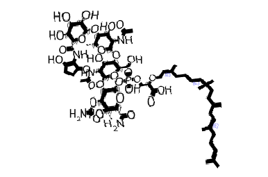 C=C(C/C=C(\C)CCC=C(C)C)CCC(C)(C)/C=C/CC/C(C)=C\CO[C@H](COP(=O)(O)O[C@H]1O[C@H](C(N)=O)[C@@](C)(O)[C@H](OC(N)=O)[C@H]1O[C@@H]1O[C@H](CO)[C@@H](O[C@@H]2O[C@H](C)[C@@H](O[C@@H]3O[C@H](C(=O)NC4=C(O)CCC4=O)[C@H](O)[C@H](O)[C@H]3O)[C@H](O)[C@H]2NC(C)=O)[C@H](O)[C@H]1NC(C)=O)C(=O)O